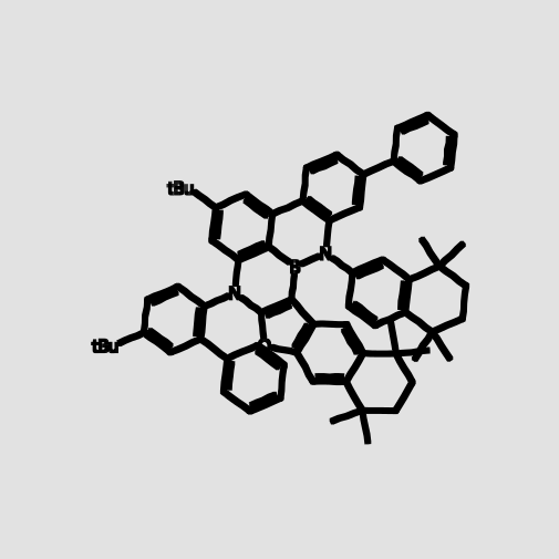 CC(C)(C)c1ccc(N2c3cc(C(C)(C)C)cc4c3B(c3c2oc2cc5c(cc32)C(C)(C)CCC5(C)C)N(c2ccc3c(c2)C(C)(C)CCC3(C)C)c2cc(-c3ccccc3)ccc2-4)c(-c2ccccc2)c1